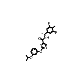 Cc1c(F)cc([C@@H](C)NC(=O)c2coc(Oc3cccc(OC(C)C)c3)n2)cc1F